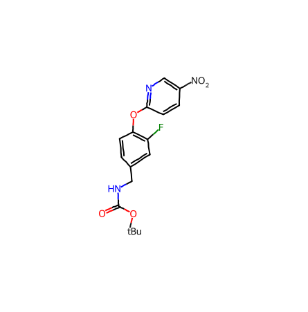 CC(C)(C)OC(=O)NCc1ccc(Oc2ccc([N+](=O)[O-])cn2)c(F)c1